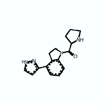 O=C(C1CCCN1)N1CCc2c(-c3cc[nH]n3)cccc21